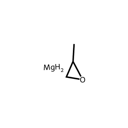 CC1CO1.[MgH2]